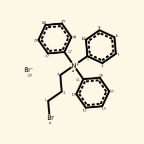 BrCCC[N+](c1ccccc1)(c1ccccc1)c1ccccc1.[Br-]